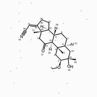 CO[C@H]1C[C@@]2(C)[C@@H](CC[C@@H]3[C@@H]2C(=O)C[C@]2(C)/C(=C\C#N)CC[C@@H]32)C[C@]1(C)O